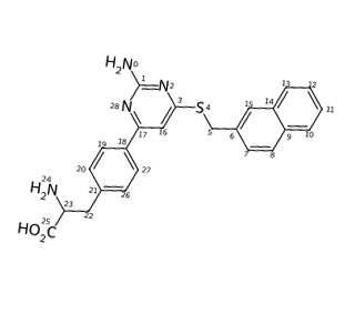 Nc1nc(SCc2ccc3ccccc3c2)cc(-c2ccc(CC(N)C(=O)O)cc2)n1